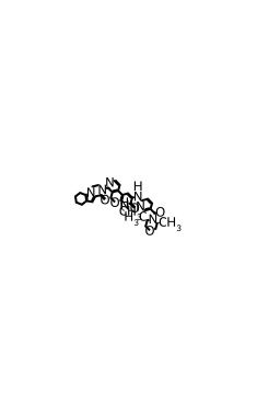 C[C@@H]1COC[C@H](C)N1C(=O)c1ccc(Nc2cc(-c3ccnc(N4CCn5c(cc6c5CCCC6)C4=O)c3CO)cn(C)c2=O)nc1